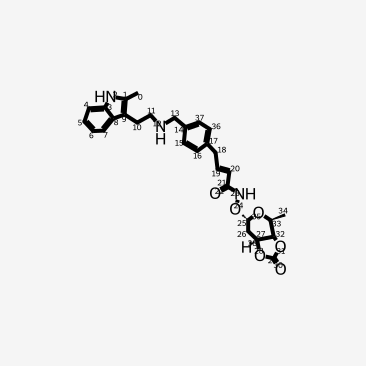 Cc1[nH]c2ccccc2c1CCNCc1ccc(C/C=C/C(=O)NO[C@H]2C[C@@H]3OC(=O)OC3[C@H](C)O2)cc1